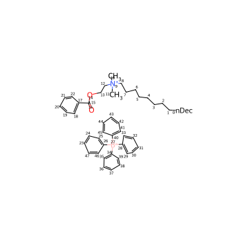 CCCCCCCCCCCCCCCCCC[N+](C)(C)CCOC(=O)c1ccccc1.c1ccc([B-](c2ccccc2)(c2ccccc2)c2ccccc2)cc1